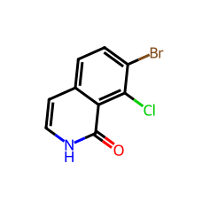 O=c1[nH]ccc2ccc(Br)c(Cl)c12